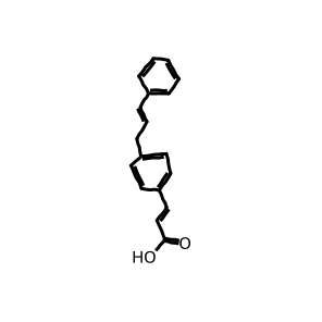 O=C(O)C=Cc1ccc(CC=Cc2ccccc2)cc1